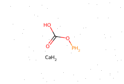 O=C(O)OP.[CaH2]